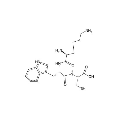 NCCCC[C@H](N)C(=O)N[C@@H](Cc1c[nH]c2ccccc12)C(=O)N[C@@H](CS)C(=O)O